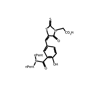 CCCCCN(CCCCC)C(=O)c1cc(C=C2SC(=S)N(CC(=O)O)C2=O)ccc1O